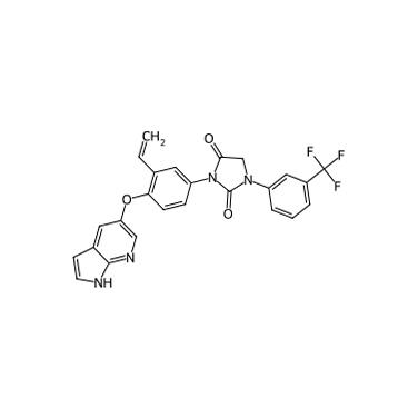 C=Cc1cc(N2C(=O)CN(c3cccc(C(F)(F)F)c3)C2=O)ccc1Oc1cnc2[nH]ccc2c1